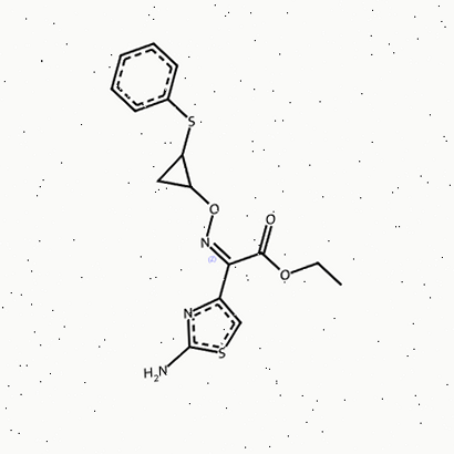 CCOC(=O)/C(=N\OC1CC1Sc1ccccc1)c1csc(N)n1